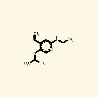 C=Cc1cc(NCC)ncc1N=C(C)C